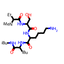 CCC(C)NC(=O)C(NC(=O)C(CCCCN)NC(=O)C(CO)NC(=O)C(CC)NC)C(C)CC